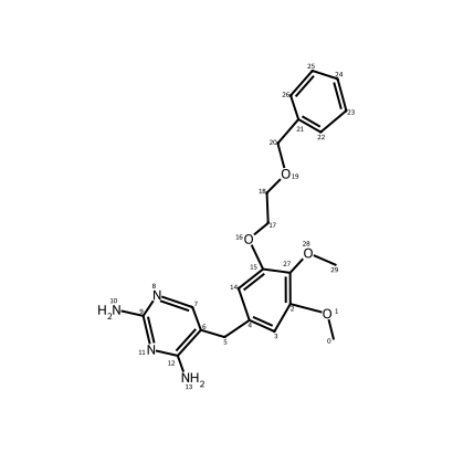 COc1cc(Cc2cnc(N)nc2N)cc(OCCOCc2ccccc2)c1OC